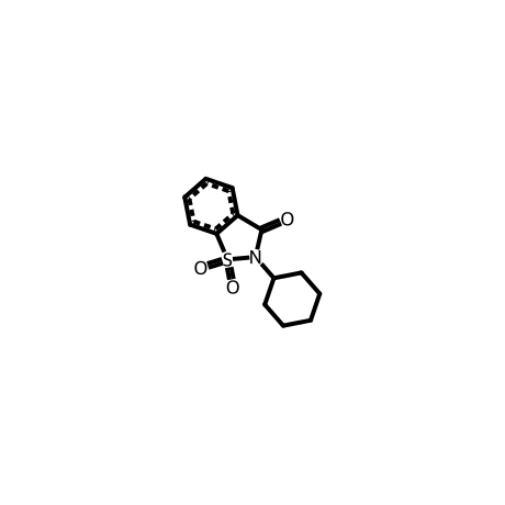 O=C1c2ccccc2S(=O)(=O)N1C1CCCCC1